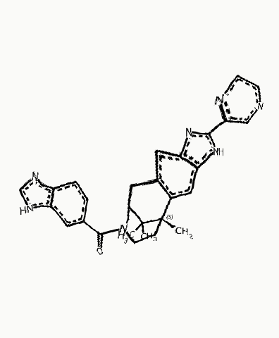 CC1(C)C2Cc3cc4nc(-c5cnccn5)[nH]c4cc3[C@]1(C)CCN2C(=O)c1ccc2nc[nH]c2c1